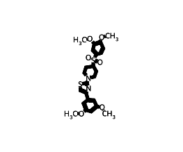 COc1cc(OC)cc(-c2csc(N3CCC(S(=O)(=O)c4ccc(OC)c(OC)c4)CC3)n2)c1